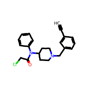 C#Cc1cccc(CN2CCC(N(C(=O)CCl)c3ccccc3)CC2)c1